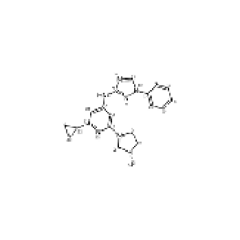 F[C@H]1CCN(c2cc(Nc3ncn(-c4ccccc4)n3)cc(C3CC3)n2)C1